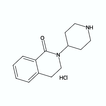 Cl.O=C1c2ccccc2CCN1C1CCNCC1